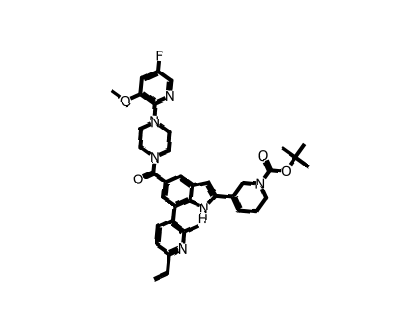 CCc1ccc(-c2cc(C(=O)N3CCN(c4ncc(F)cc4OC)CC3)cc3cc(C4=CCCN(C(=O)OC(C)(C)C)C4)[nH]c23)c(C)n1